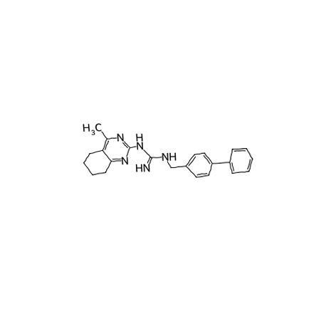 Cc1nc(NC(=N)NCc2ccc(-c3ccccc3)cc2)nc2c1CCCC2